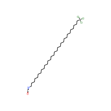 O=C=NCCCCCCCCCCCCCCCCCCCCCCCCCCCCCC[Si](Cl)(Cl)Cl